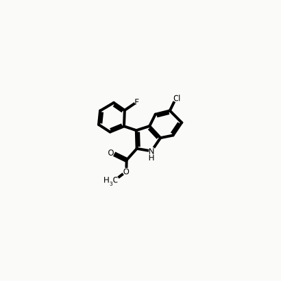 COC(=O)c1[nH]c2ccc(Cl)cc2c1-c1ccccc1F